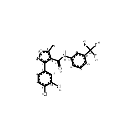 Cc1onc(-c2ccc(Cl)c(Cl)c2)c1C(=O)Nc1cccc(C(F)(F)F)c1